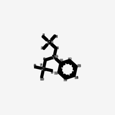 C[Si](C)(C)CN(C[Si](C)(C)C)c1ccccc1